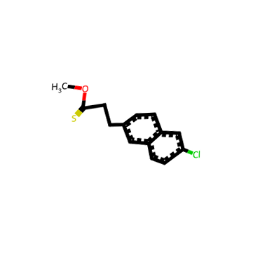 COC(=S)CCc1ccc2cc(Cl)ccc2c1